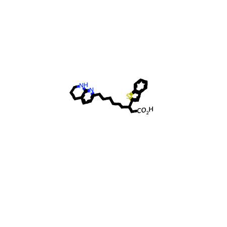 O=C(O)CC(CCCCCCc1ccc2c(n1)NCCC2)c1cc2ccccc2s1